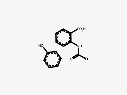 CCC(=O)Nc1ccccc1C(=O)O.Oc1ccccc1